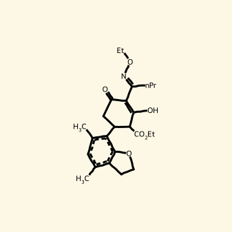 CCCC(=NOCC)C1=C(O)C(C(=O)OCC)C(c2c(C)cc(C)c3c2OCC3)CC1=O